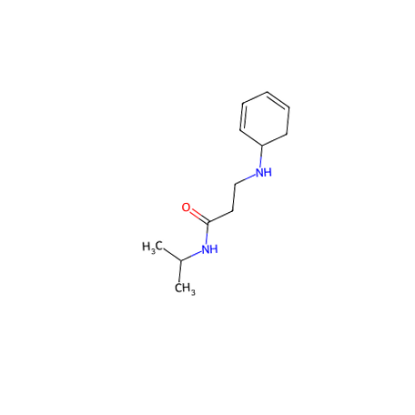 CC(C)NC(=O)CCNC1C=CC=CC1